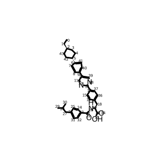 CC[C@H]1CC[C@H](c2ccc(-c3cnc(-c4ccc(C[C@H](NC(=O)c5ccc(CC(C)C)cc5)C(=O)O)cc4)nc3)cc2)CC1